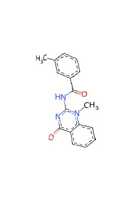 Cc1cccc(C(=O)Nc2nc(=O)c3ccccc3n2C)c1